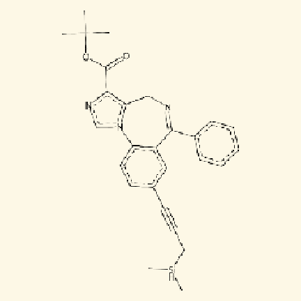 C[SiH](C)CC#Cc1ccc2c(c1)C(c1ccccc1)=NCc1c(C(=O)OC(C)(C)C)ncn1-2